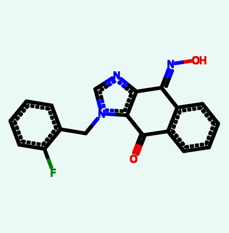 O=C1c2ccccc2C(=NO)c2ncn(Cc3ccccc3F)c21